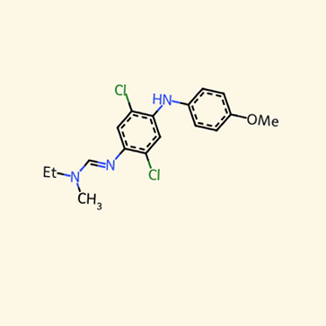 CCN(C)C=Nc1cc(Cl)c(Nc2ccc(OC)cc2)cc1Cl